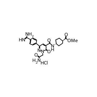 COC(=O)[C@H]1CC[C@H](NC(=O)c2cc(-c3ccc(C(=N)N)cc3)nn(CC(N)=O)c2=O)CC1.Cl